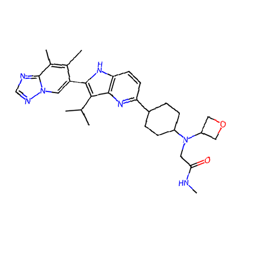 CNC(=O)CN(C1CCC(c2ccc3[nH]c(-c4cn5ncnc5c(C)c4C)c(C(C)C)c3n2)CC1)C1COC1